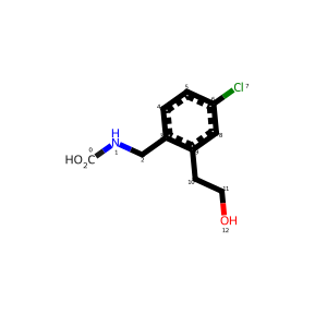 O=C(O)NCc1ccc(Cl)cc1CCO